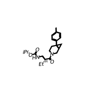 CC[C@H](CNC(=O)OC(C)C)C(=O)N1CCC2(c3ccc(C)cc3)CC2C1